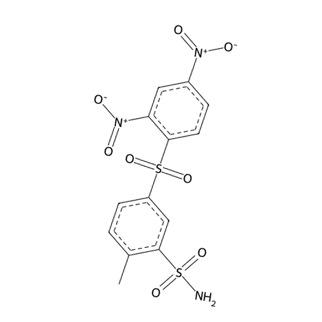 Cc1ccc(S(=O)(=O)c2ccc([N+](=O)[O-])cc2[N+](=O)[O-])cc1S(N)(=O)=O